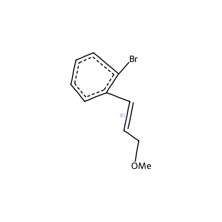 COC/C=C/c1ccccc1Br